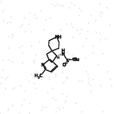 Cc1ccc2c(n1)CC1(CCNCC1)[C@@H]2N[S+]([O-])C(C)(C)C